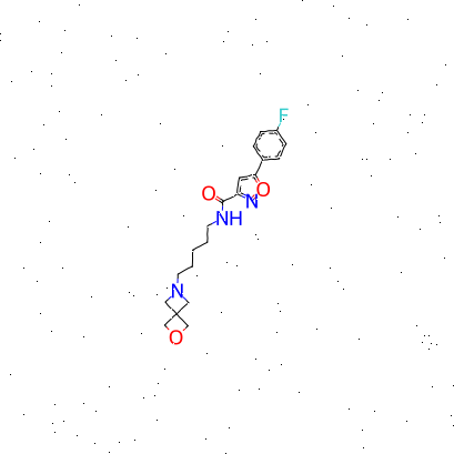 O=C(NCCCCCN1CC2(COC2)C1)c1cc(-c2ccc(F)cc2)on1